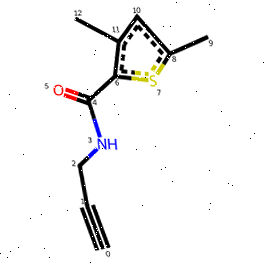 C#CCNC(=O)c1sc(C)cc1C